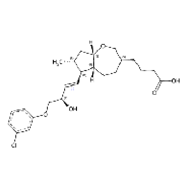 C[C@@H]1C[C@@H]2OC[C@@H](CCCC(=O)O)CC[C@@H]2[C@H]1/C=C/[C@@H](O)COc1cccc(Cl)c1